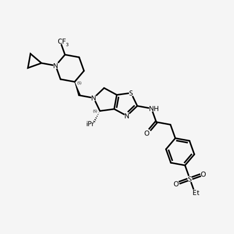 CCS(=O)(=O)c1ccc(CC(=O)Nc2nc3c(s2)CN(C[C@@H]2CCC(C(F)(F)F)N(C4CC4)C2)[C@H]3C(C)C)cc1